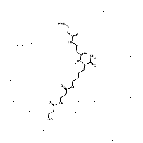 CNCCC(=O)NCCC(=O)NCCCCC(NC(=O)CCNC(=O)CCNC)C(N)=O